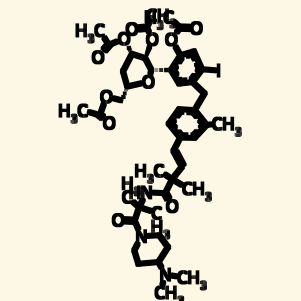 CC(=O)OC[C@@H]1C[C@H](OC(C)=O)[C@@H](OC(C)=O)[C@H](c2cc(Cc3ccc(/C=C/C(C)(C)C(=O)NC(C)(C)C(=O)N4CCC(N(C)C)CC4)cc3C)c(I)cc2OC(C)=O)O1